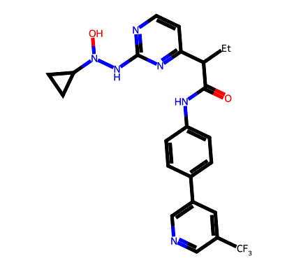 CCC(C(=O)Nc1ccc(-c2cncc(C(F)(F)F)c2)cc1)c1ccnc(NN(O)C2CC2)n1